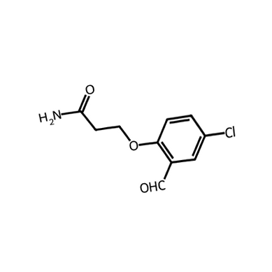 NC(=O)CCOc1ccc(Cl)cc1C=O